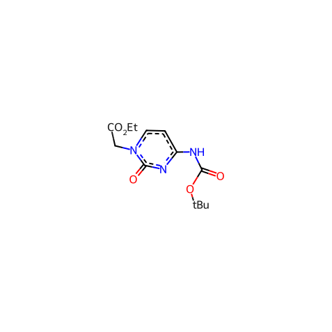 CCOC(=O)Cn1ccc(NC(=O)OC(C)(C)C)nc1=O